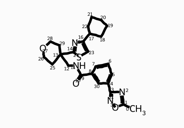 Cc1nc(-c2cccc(C(=O)NCC3(c4nc(C5CCCCC5)cs4)CCOCC3)c2)no1